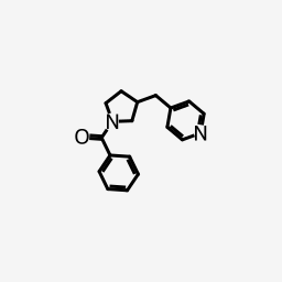 O=C(c1ccccc1)N1CCC(Cc2ccncc2)C1